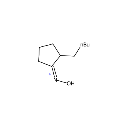 CCCCCC1CCC/C1=N/O